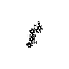 N#Cc1ccc2nccc(Nc3cccc(C(=O)Nc4ccc(Nc5ccncc5)cn4)c3)c2c1